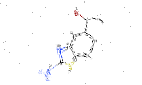 CC(Br)c1ccc2sc(N)nc2c1